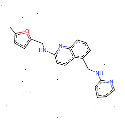 Cc1ccc(CNc2ccc3c(CNc4ccccn4)cccc3n2)o1